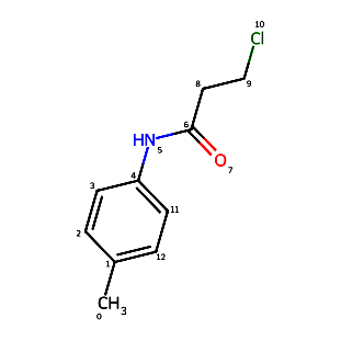 Cc1ccc(NC(=O)CCCl)cc1